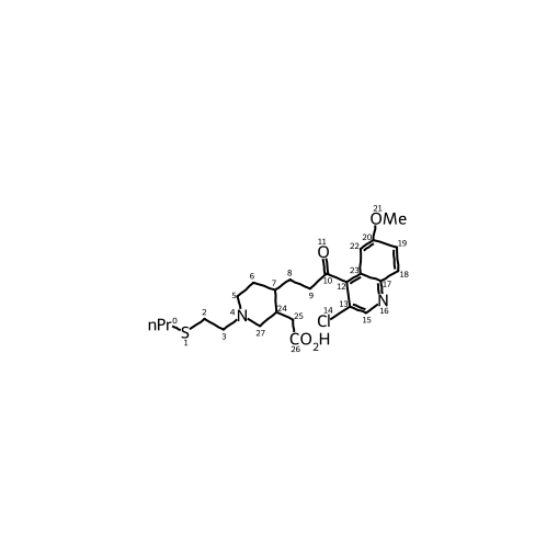 CCCSCCN1CCC(CCC(=O)c2c(Cl)cnc3ccc(OC)cc23)C(CC(=O)O)C1